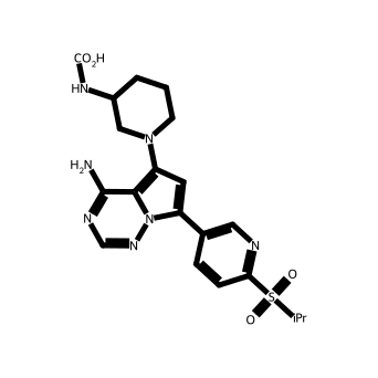 CC(C)S(=O)(=O)c1ccc(-c2cc(N3CCCC(NC(=O)O)C3)c3c(N)ncnn23)cn1